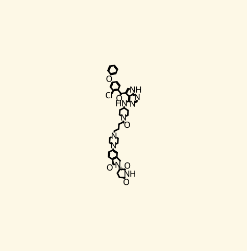 O=C1CC[C@H](N2Cc3cc(N4CCN(CCCC(=O)N5CCC(Nc6ncnc7[nH]cc(C(=O)c8ccc(Oc9ccccc9)cc8Cl)c67)CC5)CC4)ccc3C2=O)C(=O)N1